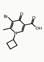 Cc1c(Br)c(=O)c(C(=O)O)cn1C1CCC1